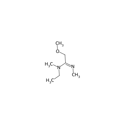 CCN(C)/C(COC)=N\C